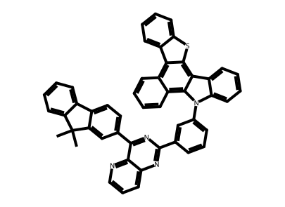 CC1(C)c2ccccc2-c2ccc(-c3nc(-c4cccc(-n5c6ccccc6c6c7sc8ccccc8c7c7ccccc7c65)c4)nc4cccnc34)cc21